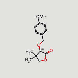 COc1ccc(CO[C@H]2C(=O)OCC2(C)C)cc1